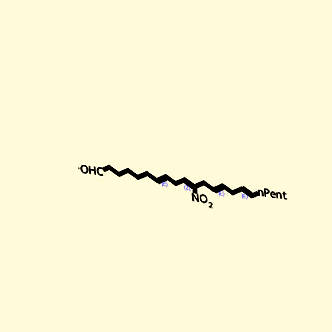 CCCCC/C=C/C/C=C/C/C(=C/C/C=C/CCCCC[C]=O)[N+](=O)[O-]